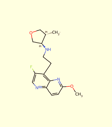 [CH2][C@H]1COC[C@@H]1NCCc1c(F)cnc2ccc(OC)nc12